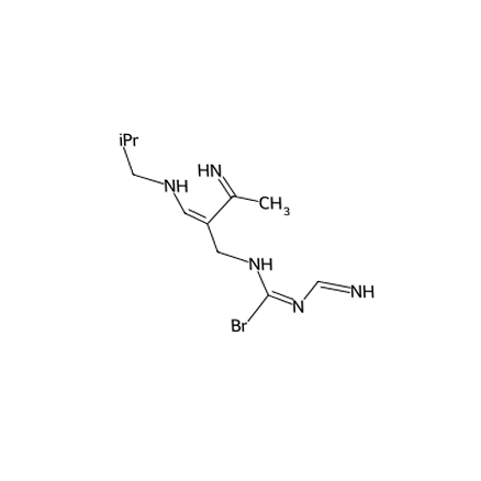 CC(=N)/C(=C\NCC(C)C)CN/C(Br)=N\C=N